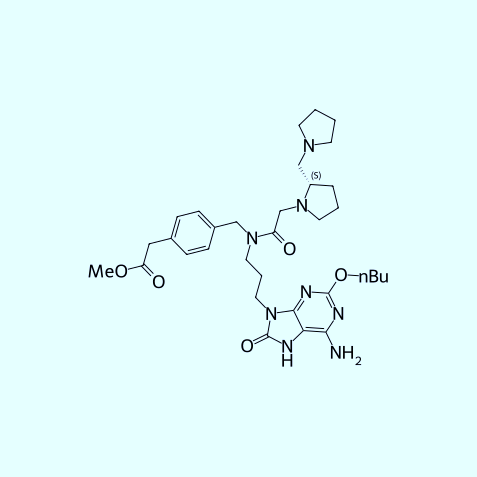 CCCCOc1nc(N)c2[nH]c(=O)n(CCCN(Cc3ccc(CC(=O)OC)cc3)C(=O)CN3CCC[C@H]3CN3CCCC3)c2n1